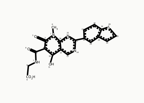 Cn1c(=O)c(C(=O)NCC(=O)O)c(O)c2cnc(-c3ccc4sccc4c3)nc21